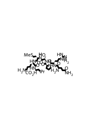 CSCC[C@H](NC(=O)[C@H](CO)NC(=O)[C@@H]1CCCN1C(=O)[C@H](CCCNC(=N)N)NC(=O)[C@@H](N)CCC(N)=O)C(=O)N[C@@H](CCCCN)C(=O)N[C@@H](CC(C)C)C(=O)O